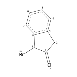 O=C1Cc2ccccc2C1Br